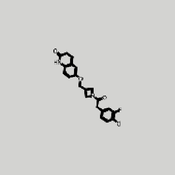 O=C1CCc2cc(OCC3CN(C(=O)Cc4ccc(Cl)c(F)c4)C3)ccc2N1